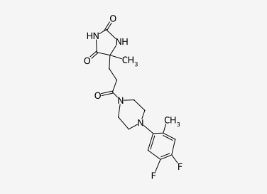 Cc1cc(F)c(F)cc1N1CCN(C(=O)CCC2(C)NC(=O)NC2=O)CC1